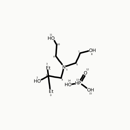 CCC(O)(CC)CN(CCO)CCO.O=[PH](O)O